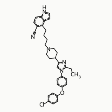 CCc1nc(C2CCN(CCCCc3c(C#N)ccc4[nH]ccc34)CC2)cn1-c1ccc(Oc2ccc(Cl)cc2)cc1